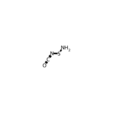 NSN=C=O